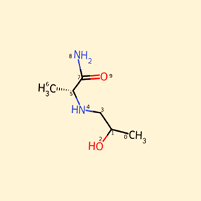 CC(O)CN[C@H](C)C(N)=O